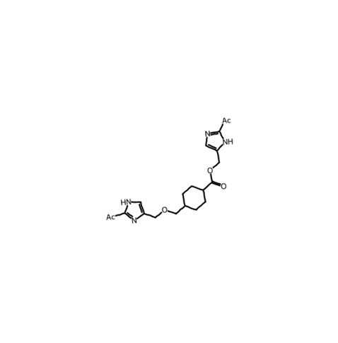 CC(=O)c1nc(COCC2CCC(C(=O)OCc3cnc(C(C)=O)[nH]3)CC2)c[nH]1